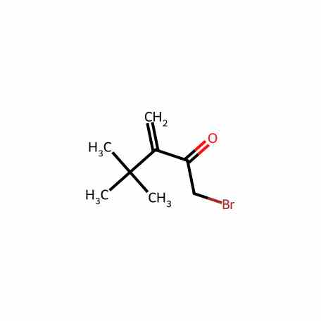 C=C(C(=O)CBr)C(C)(C)C